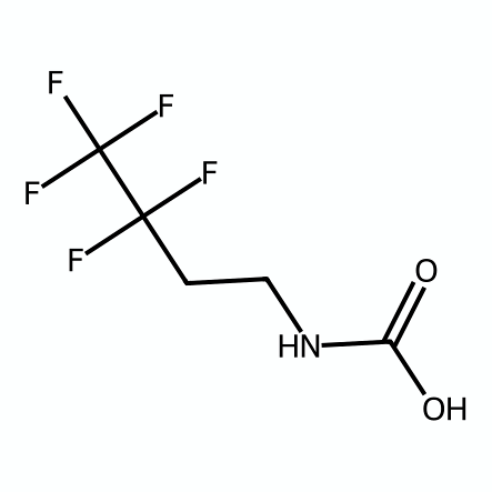 O=C(O)NCCC(F)(F)C(F)(F)F